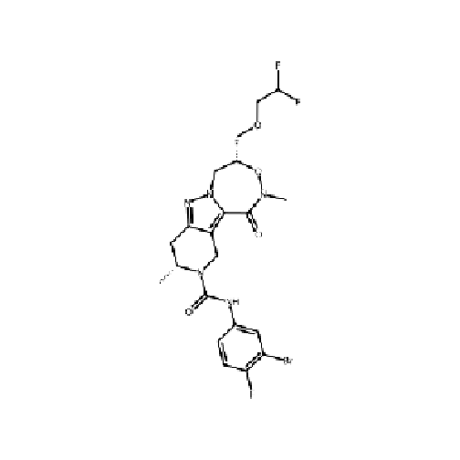 C[C@@H]1Cc2nn3c(c2CN1C(=O)Nc1ccc(F)c(Br)c1)C(=O)N(C)O[C@@H](COCC(F)F)C3